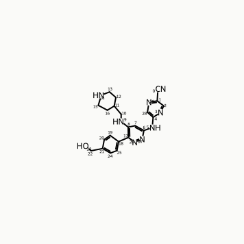 N#Cc1cnc(Nc2cc(NCC3CCNCC3)c(-c3ccc(CO)cc3)nn2)cn1